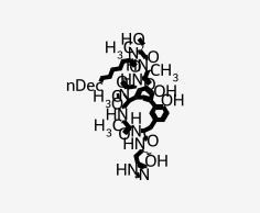 CCCCCCCCCCCCCCCC(=O)N(C)[C@H](CO)C(=O)N[C@H](C)C(=O)NCC(=O)N(C)[C@@H]1C(=O)N[C@@H](C)C(=O)N[C@H](C(=O)N[C@H](CO)Cc2cnc[nH]2)Cc2ccc(O)c(c2)-c2cc1ccc2O